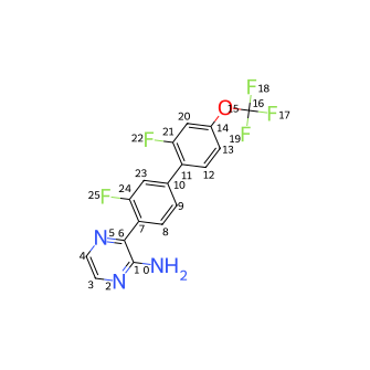 Nc1nccnc1-c1ccc(-c2ccc(OC(F)(F)F)cc2F)cc1F